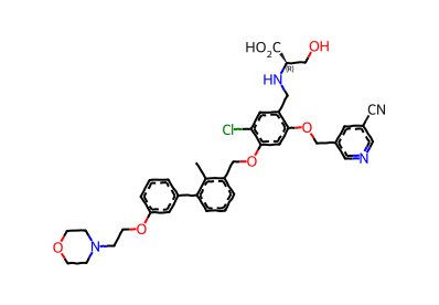 Cc1c(COc2cc(OCc3cncc(C#N)c3)c(CN[C@H](CO)C(=O)O)cc2Cl)cccc1-c1cccc(OCCN2CCOCC2)c1